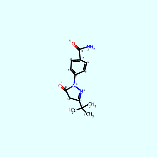 CC(C)(C)C1=NN(c2ccc(C(N)=O)cc2)C(=O)C1